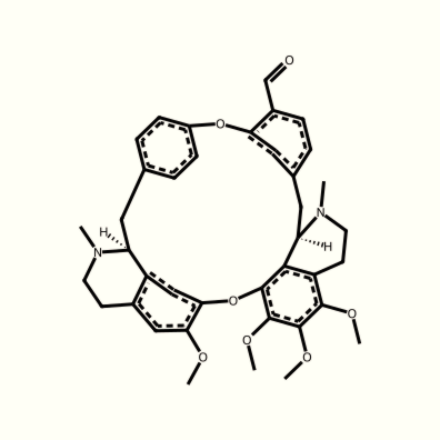 COc1cc2c3cc1Oc1c(OC)c(OC)c(OC)c4c1[C@@H](Cc1ccc(C=O)c(c1)Oc1ccc(cc1)C[C@@H]3N(C)CC2)N(C)CC4